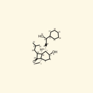 CC[C@@]12CC[C@H](O)[C@@H](C#C[C@@H](O)C3CCCCC3)[C@@H]1C(CC(C)C)C2=O